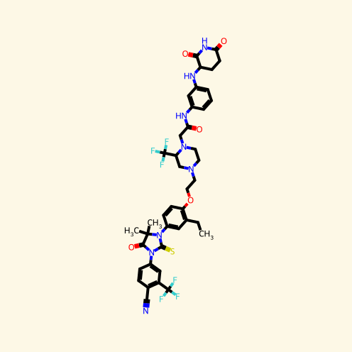 CCc1cc(N2C(=S)N(c3ccc(C#N)c(C(F)(F)F)c3)C(=O)C2(C)C)ccc1OCCN1CCN(CC(=O)Nc2cccc(NC3CCC(=O)NC3=O)c2)C(C(F)(F)F)C1